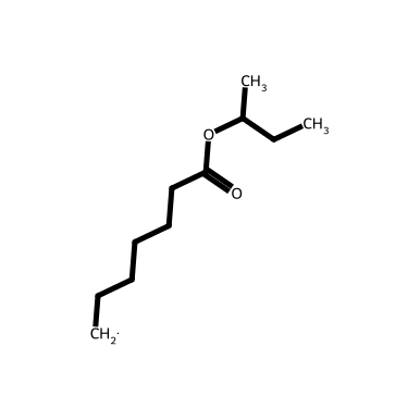 [CH2]CCCCCC(=O)OC(C)CC